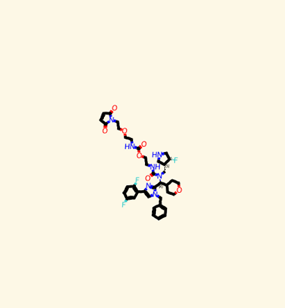 O=C(NCCOCCN1C(=O)C=CC1=O)OCCNC(=O)N(C[C@@H]1CNC[C@@H]1F)[C@@H](c1nc(-c2cc(F)ccc2F)cn1Cc1ccccc1)C1CCOCC1